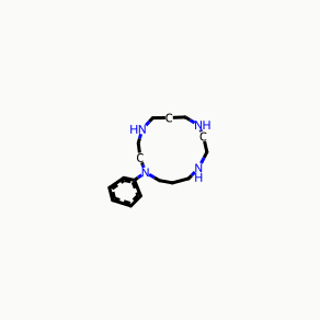 c1ccc(N2CCCNCCNCCCNCC2)cc1